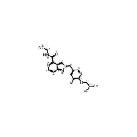 Cc1cc(Cn2cc3c(C(=O)NCC#N)nccc3n2)cnc1OCC(F)F